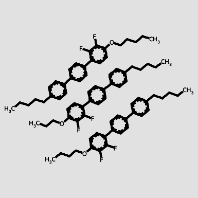 CCCCCOc1ccc(-c2ccc(-c3ccc(CCCCC)cc3)cc2)c(F)c1F.CCCCCc1ccc(-c2ccc(-c3ccc(OCCC)c(F)c3F)cc2)cc1.CCCCCc1ccc(-c2ccc(-c3ccc(OCCCC)c(F)c3F)cc2)cc1